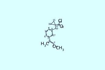 COC=C(C)c1cccc(CC2(C(=O)Cl)CC2)c1